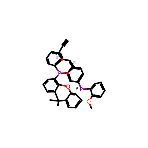 C#C/C=C\C=C/CP(c1ccccc1)c1cccc2c1Oc1c([P@@](c3ccccc3)c3ccccc3OC)cccc1C2(C)C